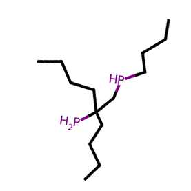 CCCCPCC(P)(CCCC)CCCC